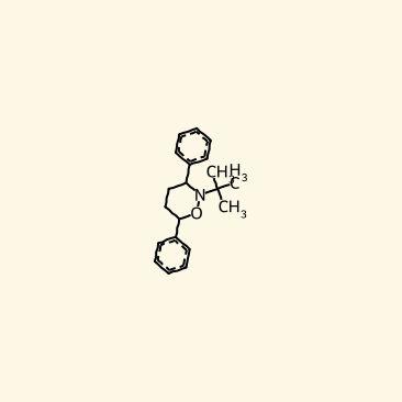 CC(C)(C)N1OC(c2ccccc2)CCC1c1ccccc1